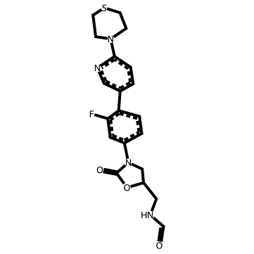 O=CNCC1CN(c2ccc(-c3ccc(N4CCSCC4)nc3)c(F)c2)C(=O)O1